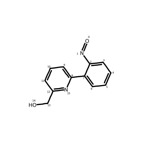 O=Nc1ccccc1-c1cccc(CO)n1